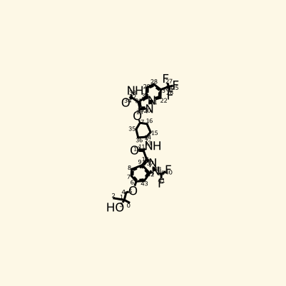 CC(C)(O)COc1ccc2c(C(=O)N[C@H]3CC[C@H](Oc4nn5cc(C(F)(F)F)ccc5c4C(N)=O)CC3)nn(C(F)F)c2c1